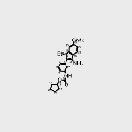 CCn1c(-c2cccc(NC(=O)OC3CCCC3)c2)c(N)c2ccc(OC)cc21